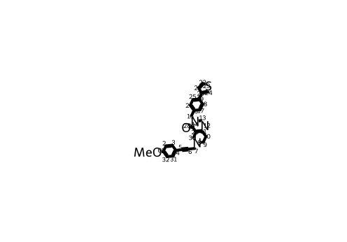 COc1ccc(C#CCN2CCc3ncn(Cc4ccc(-c5ccsc5)cc4)c(=O)c3C2)cc1